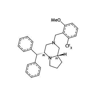 COc1cccc(C(F)(F)F)c1CN1C[C@@H]2CCCN2[C@H](C(c2ccccc2)c2ccccc2)C1